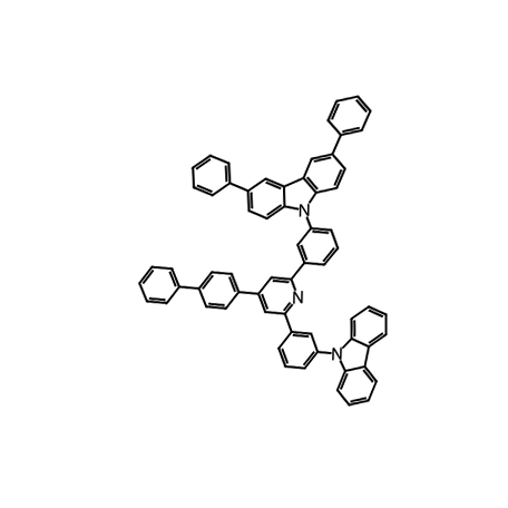 c1ccc(-c2ccc(-c3cc(-c4cccc(-n5c6ccccc6c6ccccc65)c4)nc(-c4cccc(-n5c6ccc(-c7ccccc7)cc6c6cc(-c7ccccc7)ccc65)c4)c3)cc2)cc1